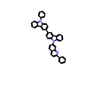 c1ccc(-c2ccc3ccc(-n4c5ccccc5c5cc(-c6ccc7c(c6)c6ccccc6n7-c6ccccc6)ccc54)cc3n2)cc1